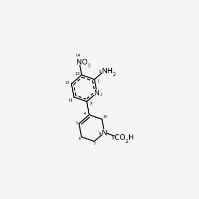 Nc1nc(C2=CCCN(C(=O)O)C2)ccc1[N+](=O)[O-]